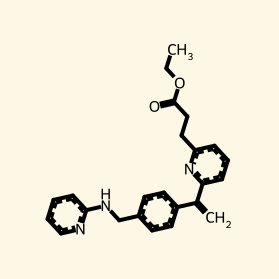 C=C(c1ccc(CNc2ccccn2)cc1)c1cccc(CCC(=O)OCC)n1